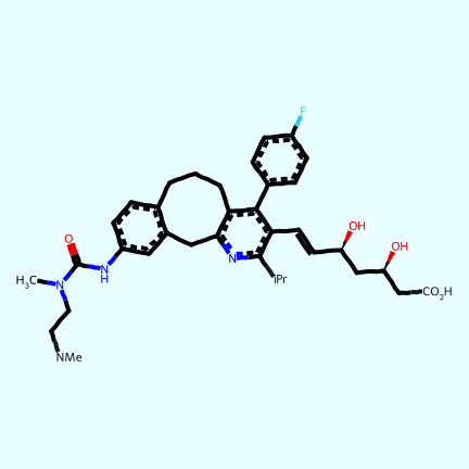 CNCCN(C)C(=O)Nc1ccc2c(c1)Cc1nc(C(C)C)c(/C=C/[C@@H](O)C[C@@H](O)CC(=O)O)c(-c3ccc(F)cc3)c1CCC2